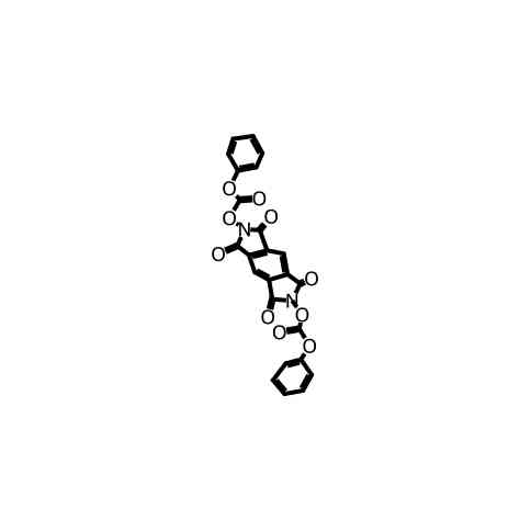 O=C(Oc1ccccc1)On1c(=O)c2cc3c(=O)n(OC(=O)Oc4ccccc4)c(=O)c3cc2c1=O